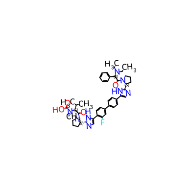 CCN(CC)[C@@H](C(=O)N1CCC[C@H]1c1ncc(-c2ccc(-c3ccc(-c4cnc([C@@H]5CCCN5C(=O)[C@H](C(C)C)N(C)C(=O)O)[nH]4)c(F)c3)cc2)[nH]1)c1ccccc1